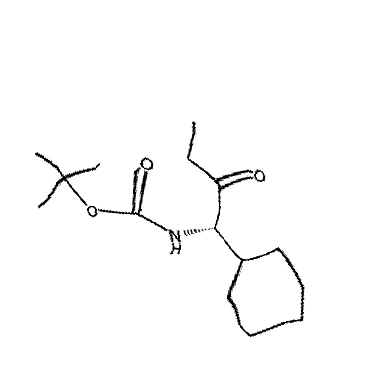 CCC(=O)[C@@H](NC(=O)OC(C)(C)C)C1CCCCC1